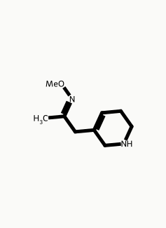 CON=C(C)CC1=CCCNC1